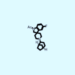 CC(=O)N1CC2(CCN(C3CC[C@H]4CC[C@@H]3C4)CC2)c2cc(F)ccc21